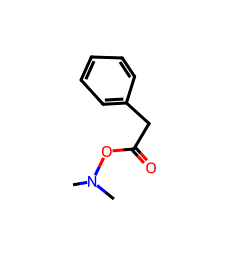 CN(C)OC(=O)Cc1ccccc1